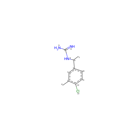 Cc1cc(C(C)NC(=N)N)ccc1Cl